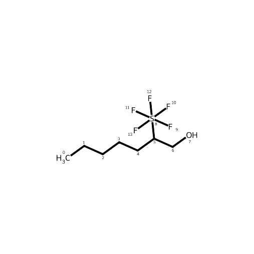 CCCCCC(CO)S(F)(F)(F)(F)F